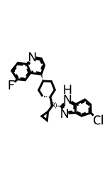 Fc1ccc2nccc([C@H]3CC[C@@H]([C@H](c4nc5cc(Cl)ccc5[nH]4)C4CC4)CC3)c2c1